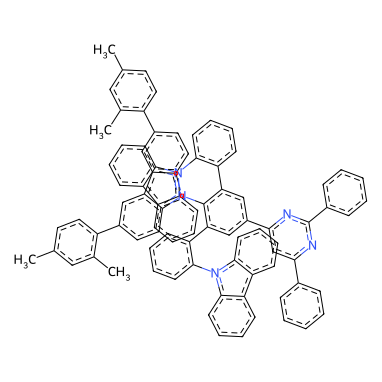 Cc1ccc(-c2ccc3c(c2)c2cc(-c4ccc(C)cc4C)ccc2n3-c2c(-c3ccccc3-n3c4ccccc4c4ccccc43)cc(-c3cc(-c4ccccc4)nc(-c4ccccc4)n3)cc2-c2ccccc2-n2c3ccccc3c3ccccc32)c(C)c1